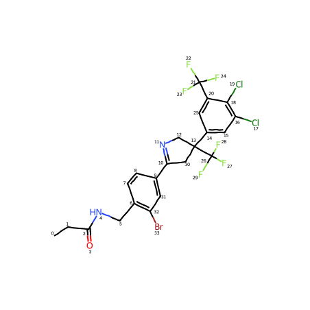 CCC(=O)NCc1ccc(C2=NCC(c3cc(Cl)c(Cl)c(C(F)(F)F)c3)(C(F)(F)F)C2)cc1Br